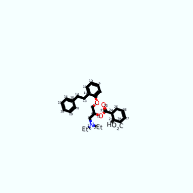 CCN(CC)CC(COc1ccccc1CCc1ccccc1)OC(=O)C1CC=CCC1C(=O)O